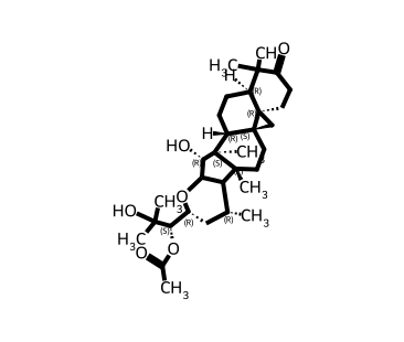 CC(=O)O[C@@H]([C@H]1C[C@@H](C)C2C(O1)[C@H](O)[C@@]1(C)[C@@H]3CC[C@H]4C(C)(C)C(=O)CC[C@@]45C[C@@]35CC[C@]21C)C(C)(C)O